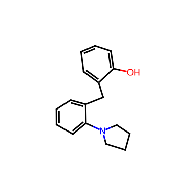 Oc1ccccc1Cc1ccccc1N1CCCC1